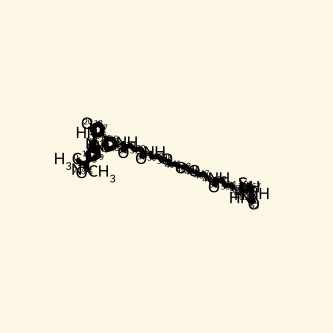 Cc1noc(C)c1-c1ccc2c(c1)nc([C@@H]1CCCC(=O)N1)n2C1CCC(NC(=O)CCCC(=O)NCCCOCCOCCOCCCNC(=O)CCCC[C@@H]2SC[C@@H]3NC(=O)N[C@@H]32)CC1